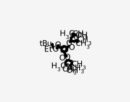 CCC(CC(C)(C)C)OC(=O)c1cc(C(=O)OC2CC(C)(C)N(O)C(C)(C)C2)cc(C(=O)OC2CC(C)(C)N(O)C(C)(C)C2)c1